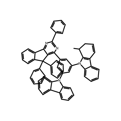 CC1CC=Cc2c1n(-c1cc(-c3nc(-c4ccccc4)nc4c3C(c3ccccc3)(c3ccccc3)c3ccccc3-4)cc(-n3c4ccccc4c4ccccc43)c1)c1ccccc21